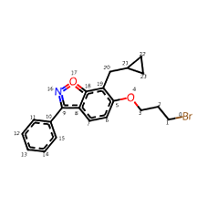 BrCCCOc1ccc2c(-c3ccccc3)noc2c1CC1CC1